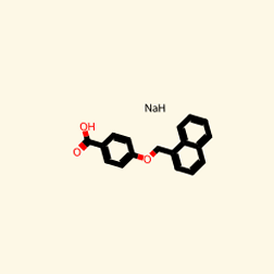 O=C(O)c1ccc(OCc2cccc3ccccc23)cc1.[NaH]